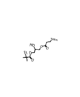 CCC(C)(C)C(=O)OCC(O)COC(=O)CCSC